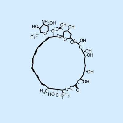 C[C@@H]1[C@H](O)[C@@H](C)/C=C/C=C/C=C/C=C/C=C/C=C/C=C/[C@H](O[C@@H]2O[C@H](C)[C@@H](O)[C@H](N)[C@@H]2O)C[C@@H]2O[C@](O)(C[C@@H](O)C[C@@H](O)[C@H](O)CC[C@@H](O)C[C@@H](O)CC(=O)CO[C@H]1C)C[C@H](O)[C@H]2C(=O)O